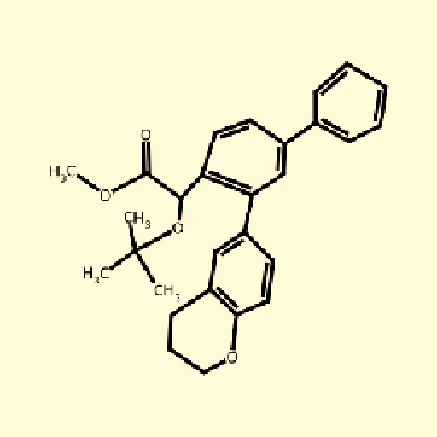 COC(=O)C(OC(C)(C)C)c1ccc(-c2ccccc2)cc1-c1ccc2c(c1)CCCO2